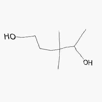 CC(O)C(C)(C)CCO